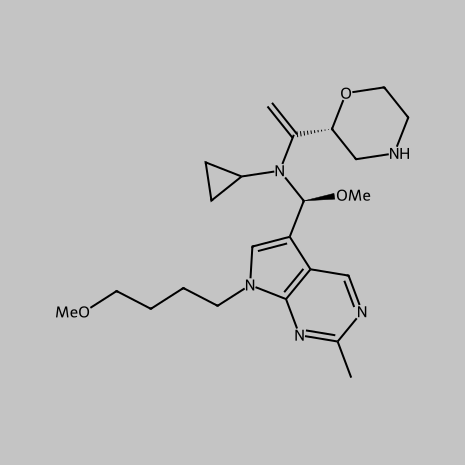 C=C([C@H]1CNCCO1)N(C1CC1)[C@@H](OC)c1cn(CCCCOC)c2nc(C)ncc12